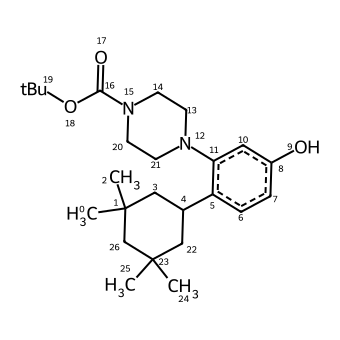 CC1(C)CC(c2ccc(O)cc2N2CCN(C(=O)OC(C)(C)C)CC2)CC(C)(C)C1